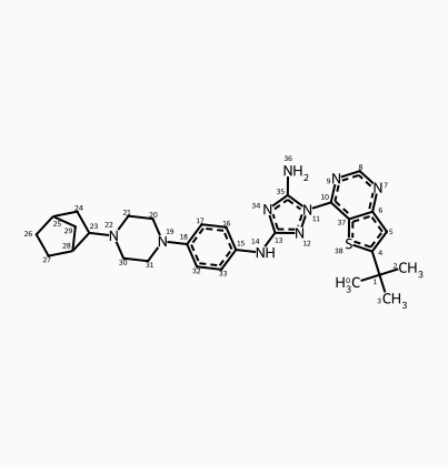 CC(C)(C)c1cc2ncnc(-n3nc(Nc4ccc(N5CCN(C6CC7CCC6C7)CC5)cc4)nc3N)c2s1